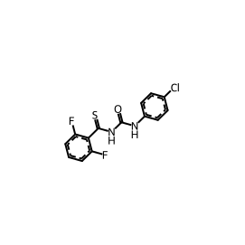 O=C(NC(=S)c1c(F)cccc1F)Nc1ccc(Cl)cc1